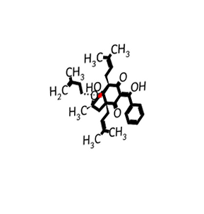 C=C(C)CC[C@@H]1C[C@]2(CC=C(C)C)C(=O)C(=C(O)c3ccccc3)C(=O)[C@]3(CC=C(C)C)C[C@@]1(C)O[C@@]32O